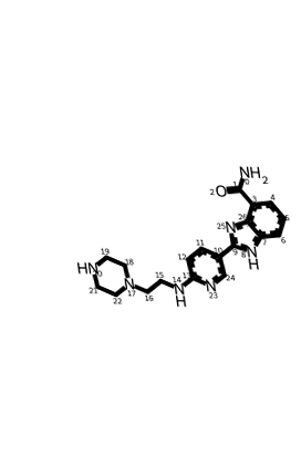 NC(=O)c1cccc2[nH]c(-c3ccc(NCCN4CCNCC4)nc3)nc12